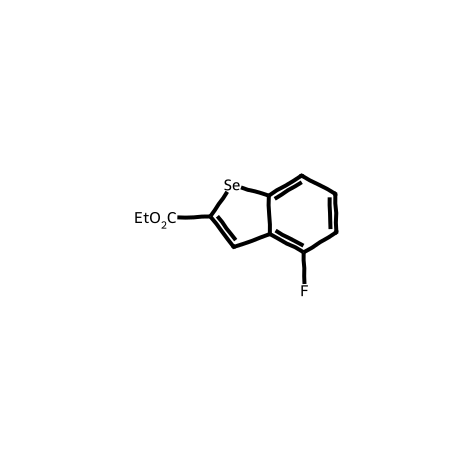 CCOC(=O)c1cc2c(F)cccc2[se]1